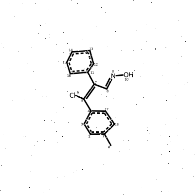 Cc1ccc(C(Cl)=C(C=NO)c2ccccc2)cc1